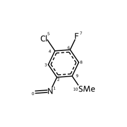 C=Nc1cc(Cl)c(F)cc1SC